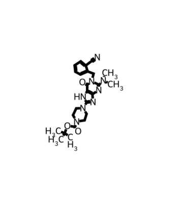 CN(C)c1nc2nc(N3CCN(C(=O)OC(C)(C)C)CC3)[nH]c2c(=O)n1Cc1ccccc1C#N